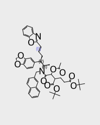 CC(=O)OC(C(=O)N(Cc1ccc2ccccc2c1)[C@H](C)[C@H](C/C=C/c1nc2ccccc2o1)c1ccc2c(c1)OCO2)C(CCC(=O)OC(C)(C)C)C(=O)OC(C)(C)C